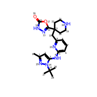 Cc1cc(Nc2cccc(CC3(c4n[nH]c(=O)o4)CCNCC3)n2)n(C(C)(C)C)n1